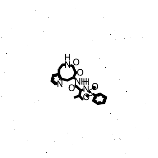 CC(C)C(NS(=O)(=O)c1ccccc1)C(=O)NC1Cc2ncccc2CCNC(=O)C1=O